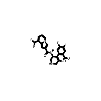 CN(C(=O)c1cc2c(C(F)F)cccn2c1)C1CNCc2[nH]c(=O)c3cc(F)c(F)cc3c21